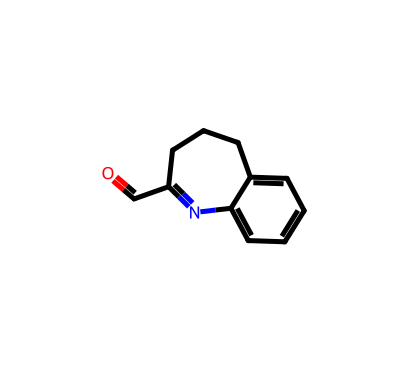 O=CC1=Nc2ccccc2CCC1